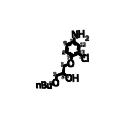 CCCCOCC(O)COc1ccc(N)cc1Cl